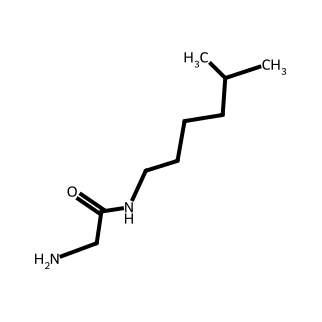 CC(C)CCCCNC(=O)CN